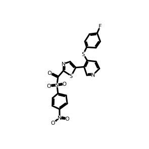 O=C(c1ncc(-c2cnccc2Sc2ccc(F)cc2)s1)S(=O)(=O)c1ccc([N+](=O)[O-])cc1